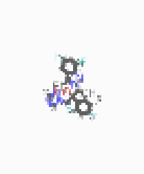 CCc1c2cc(F)cc(F)c2nn1[C@H](C)[C@](O)(Cn1cncn1)c1ccc(F)cc1F